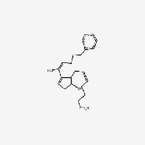 O=C(O)CCC/C=C\CC1C(/C(O)=C\CCCc2ccccc2)=CCC1O